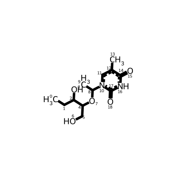 CCC(O)C(CO)OC(C)n1cc(C)c(=O)[nH]c1=O